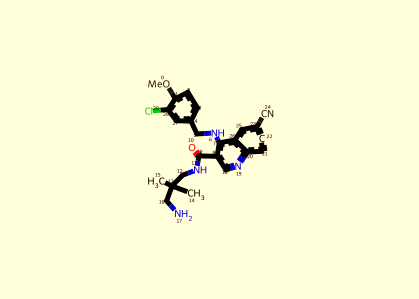 COc1ccc(CNc2c(C(=O)NCC(C)(C)CN)cnc3ccc(C#N)cc23)cc1Cl